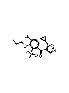 CCCOc1c(Cl)ccc(C(=O)c2cnoc2C2CC2)c1S(C)(=O)=O